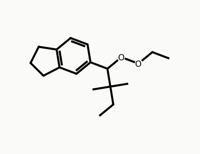 CCOOC(c1ccc2c(c1)CCC2)C(C)(C)CC